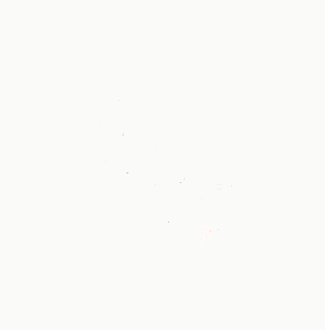 CCCCc1ccc(-c2ccc(OC)c(F)c2)cc1